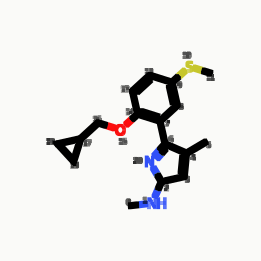 CNC1C=C(C)C(c2cc(SC)ccc2OCC2CC2)=N1